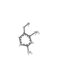 Cc1ncc(CBr)c(N)n1